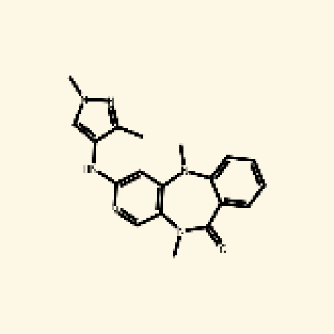 Cc1nn(C)cc1Nc1cc2c(cn1)N(C)C(=O)c1ccccc1N2C